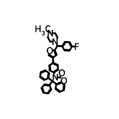 CN1CCN(C(c2ccc(F)cc2)c2cc(-c3ccc4c(c3)oc(=O)n4C(c3ccccc3)(c3ccccc3)c3ccccc3)co2)CC1